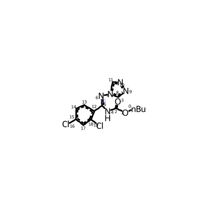 CCCCOC(=O)N/C(=N\n1cnnc1)c1ccc(Cl)cc1Cl